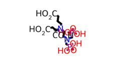 O=C(O)CCCN(CCN(CP(=O)(O)O)CP(=O)(O)O)[C@@H](CC(=O)O)C(=O)O